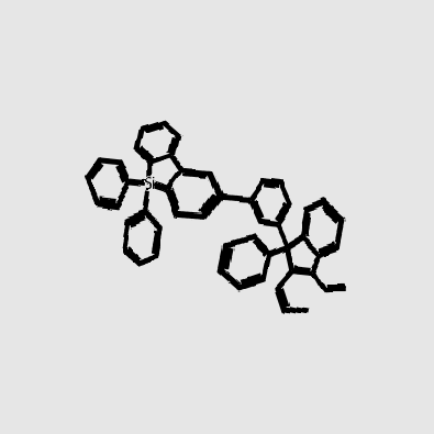 C=CC1=C(/C=C\C)C(c2ccccc2)(c2cccc(-c3ccc4c(c3)-c3ccccc3[Si]4(c3ccccc3)c3ccccc3)c2)c2ccccc21